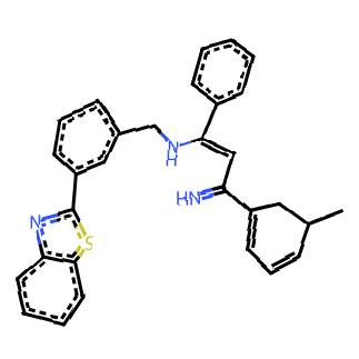 CC1C=CC=C(C(=N)/C=C(\NCc2cccc(-c3nc4ccccc4s3)c2)c2ccccc2)C1